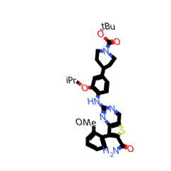 COc1ccccc1-c1c(C(N)=O)sc2cnc(Nc3ccc(C4CCN(C(=O)OC(C)(C)C)CC4)cc3OC(C)C)nc12